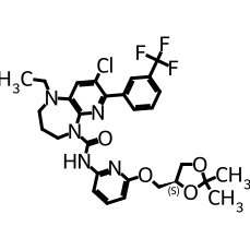 CCN1CCCN(C(=O)Nc2cccc(OC[C@H]3COC(C)(C)O3)n2)c2nc(-c3cccc(C(F)(F)F)c3)c(Cl)cc21